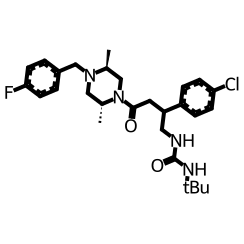 C[C@@H]1CN(Cc2ccc(F)cc2)[C@@H](C)CN1C(=O)CC(CNC(=O)NC(C)(C)C)c1ccc(Cl)cc1